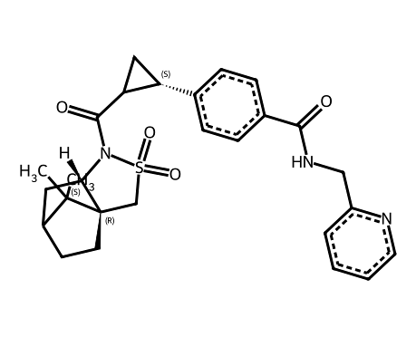 CC1(C)C2CC[C@@]13CS(=O)(=O)N(C(=O)C1C[C@@H]1c1ccc(C(=O)NCc4ccccn4)cc1)[C@H]3C2